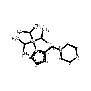 CC(C)[Si](C(C)C)(C(C)C)n1cccc1CN1CCOCC1